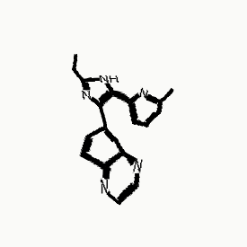 CCc1nc(-c2ccc3nccnc3c2)c(-c2cccc(C)n2)[nH]1